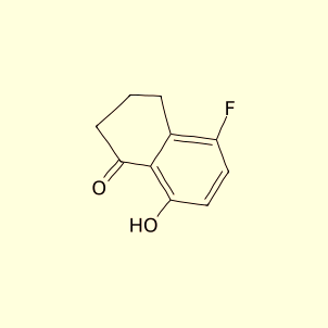 O=C1CCCc2c(F)ccc(O)c21